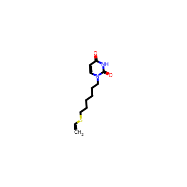 C=CSCCCCCCn1ccc(=O)[nH]c1=O